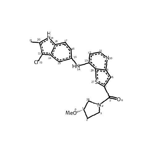 CO[C@H]1CCN(C(=O)c2cc3nccc(Nc4ccc5[nH]c(C)c(Cl)c5c4)c3s2)C1